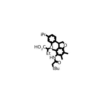 CCC(Oc1cc(C(C)C)ccc1C1COc2c(C)c(C)c(NC(=O)CC(C)(C)C)c(C)c21)C(=O)O